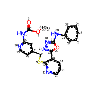 CC(C)(C)OC(=O)Nc1cc(CSc2ncccc2-c2nnc(Nc3ccccc3)o2)ccn1